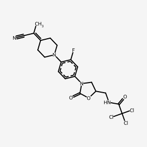 CC(C#N)=C1CCN(c2ccc(N3CC(CNC(=O)C(Cl)(Cl)Cl)OC3=O)cc2F)CC1